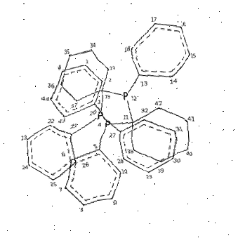 c1ccc(P(c2ccccc2)C2(P(c3ccccc3)C3(P(c4ccccc4)c4ccccc4)CCCCC3)CCCCC2)cc1